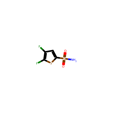 NS(=O)(=O)c1cc(F)c(F)s1